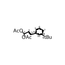 CC(=O)OC(/C=C/c1cccc(C(C)(C)C)c1)OC(C)=O